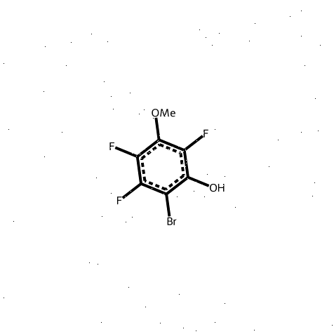 COc1c(F)c(O)c(Br)c(F)c1F